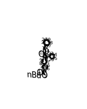 CCCCOC(=O)N1CC[C@]2(CCN([C@H](C(=O)OCc3ccccc3)C3CCCC3)C2)C1